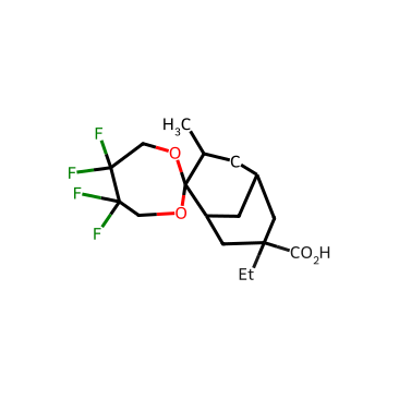 CCC1(C(=O)O)CC2CC(C)C3(OCC(F)(F)C(F)(F)CO3)C(C2)C1